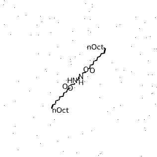 CCCCCCCC/C=C\CCCCCCCC(=O)OCCNCCNCCOC(=O)CCCCCCC/C=C\CCCCCCCC